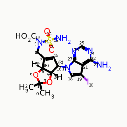 CC1(C)O[C@@H]2[C@H](O1)C(CN(C(=O)O)S(N)(=O)=O)=C[C@H]2n1cc(I)c2c(N)ncnc21